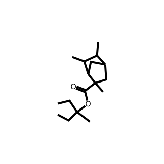 CCC(C)(CC)OC(=O)C1(C)CC2CC1C(C)C2C